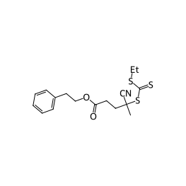 CCSC(=S)SC(C)(C#N)CCC(=O)OCCc1ccccc1